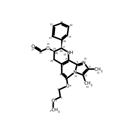 COCCOc1cc2c(c3nc(C)c(C)n13)N[C@H](c1ccccc1)[C@H](OC=O)C2